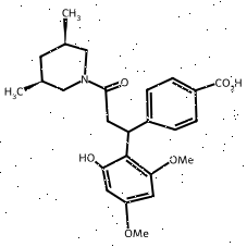 COc1cc(O)c(C(CC(=O)N2C[C@H](C)C[C@H](C)C2)c2ccc(C(=O)O)cc2)c(OC)c1